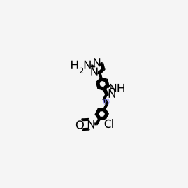 Nc1nccc(-c2ccc3c(/C=C/c4ccc(CN5CCOCC5)c(Cl)c4)n[nH]c3c2)n1